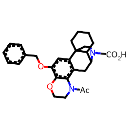 CC(=O)N1CCOc2c(OCc3ccccc3)cc3c(c21)CC1C2CCCCC32CCN1C(=O)O